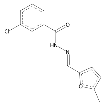 Cc1ccc(/C=N/NC(=O)c2cccc(Cl)c2)o1